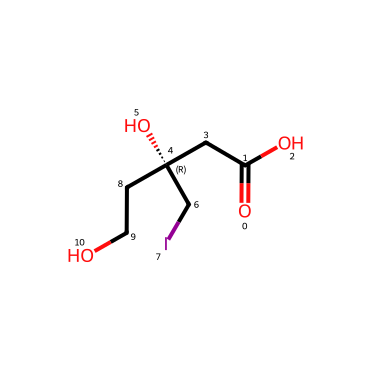 O=C(O)C[C@@](O)(CI)CCO